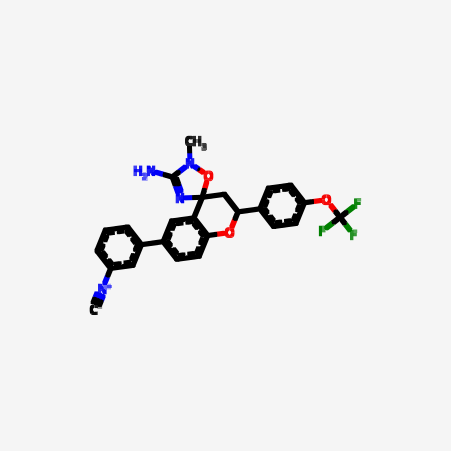 [C-]#[N+]c1cccc(-c2ccc3c(c2)C2(CC(c4ccc(OC(F)(F)F)cc4)O3)N=C(N)N(C)O2)c1